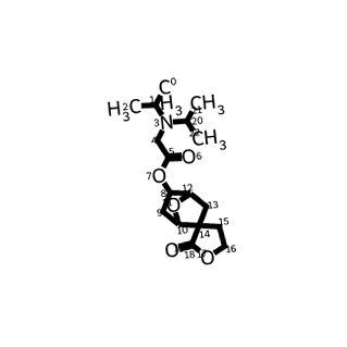 CC(C)N(CC(=O)OC1CC2OC1CC21CCOC1=O)C(C)C